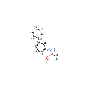 O=C(CCl)Nc1cccc(-c2ccccc2)c1